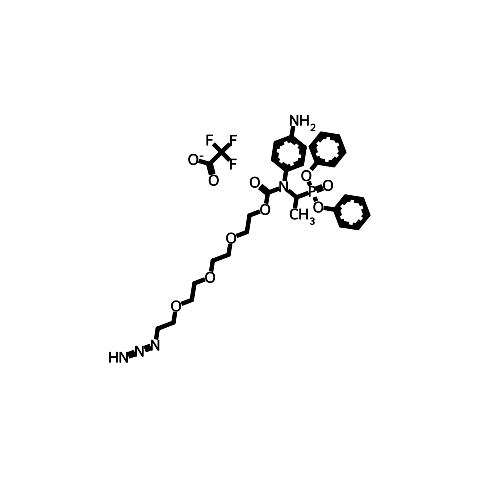 CC(N(C(=O)OCCOCCOCCOCCN=[N+]=N)c1ccc(N)cc1)P(=O)(Oc1ccccc1)Oc1ccccc1.O=C([O-])C(F)(F)F